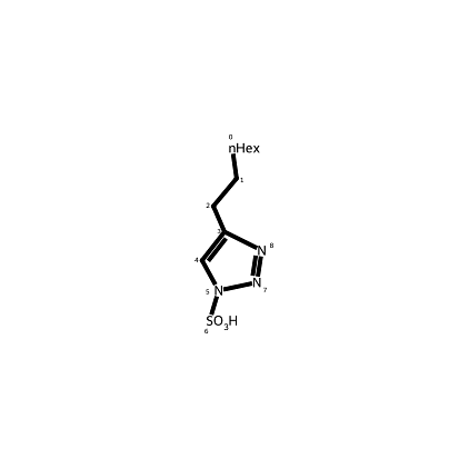 CCCCCCCCc1cn(S(=O)(=O)O)nn1